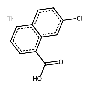 O=C(O)c1cccc2ccc(Cl)cc12.[Tl]